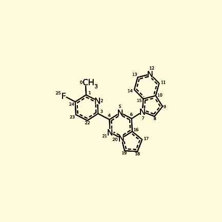 Cc1nc(-c2nc(-n3ccc4cnccc43)c3cccn3n2)ccc1F